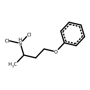 CC(CCOc1ccccc1)[SiH](Cl)Cl